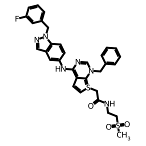 CS(=O)(=O)CCNC(=O)CS1=C2C(=C(Nc3ccc4c(cnn4Cc4cccc(F)c4)c3)N=CN2Cc2ccccc2)C=C1